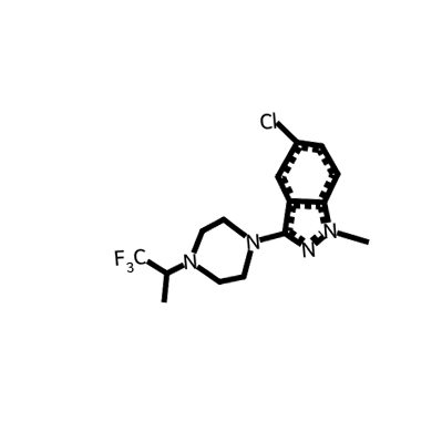 CC(N1CCN(c2nn(C)c3ccc(Cl)cc23)CC1)C(F)(F)F